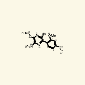 CCCCCCOc1nc(Br)c(-c2ccc(OCC)cc2OC)nc1NC